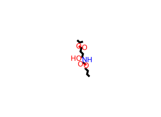 CCCCOC(=O)NC(O)CCC(=O)OC(C)C